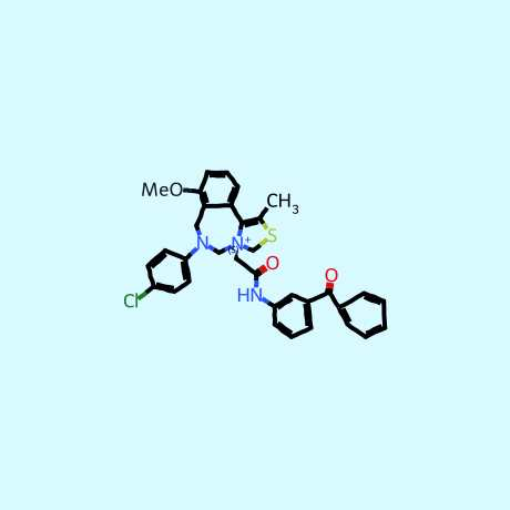 COc1cccc2c1CN(c1ccc(Cl)cc1)C[N@@+]1(CC(=O)Nc3cccc(C(=O)c4ccccc4)c3)CSC(C)=C21